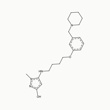 Cn1nc(O)cc1NCCCCOc1cccc(CN2CCCCC2)c1